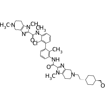 Cc1c(NC(=O)c2nc3c(n2C)CCN(CC[C@H]2CC[C@H](C=O)CC2)C3)cccc1-c1cccc(N(C)C(=O)c2nc3c(n2C)CCN(C)C3)c1Cl